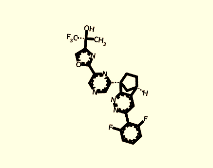 C[C@](O)(c1coc(-c2cncc([C@]34CC[C@H](C3)c3cc(-c5c(F)cccc5F)nnc34)n2)n1)C(F)(F)F